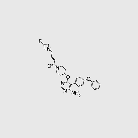 Nc1ncnc(OC2CCN(C(=O)/C=C/CN3CC(F)C3)CC2)c1-c1ccc(Oc2ccccc2)cc1